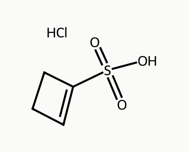 Cl.O=S(=O)(O)C1=CCC1